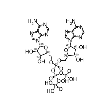 Nc1ncnc2c1ncn2[C@@H]1O[C@H](COP(=O)(OC[C@H]2O[C@@H](n3cnc4c(N)ncnc43)[C@H](O)[C@@H]2O)OP(=O)(OP(=O)(O)O)OP(=O)(O)O)[C@@H](O)[C@H]1O